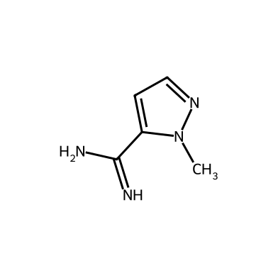 Cn1nccc1C(=N)N